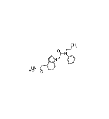 CCCN(C(=O)Cn1ccc2c(CC(=O)NO)cccc21)c1ccccc1